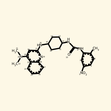 Cc1ccc([N+](=O)[O-])cc1NC(=O)NC1CCC(Nc2cc(N(C)C)c3ccccc3n2)CC1